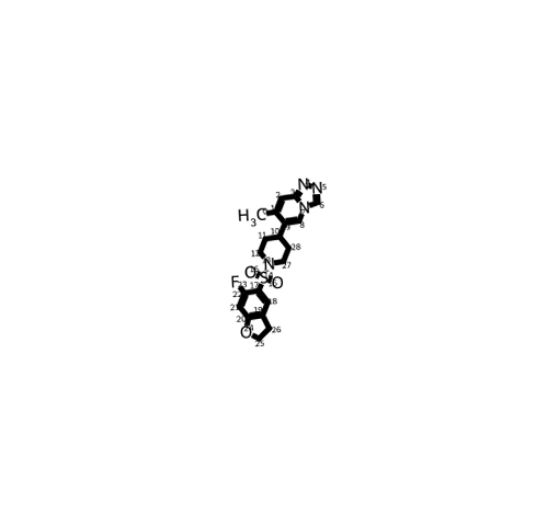 Cc1cc2nncn2cc1C1CCN(S(=O)(=O)c2cc3c(cc2F)OCC3)CC1